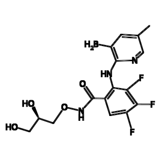 Bc1cc(C)cnc1Nc1c(C(=O)NOC[C@H](O)CO)cc(F)c(F)c1F